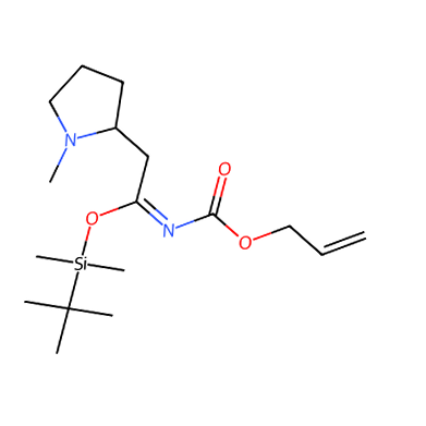 C=CCOC(=O)N=C(CC1CCCN1C)O[Si](C)(C)C(C)(C)C